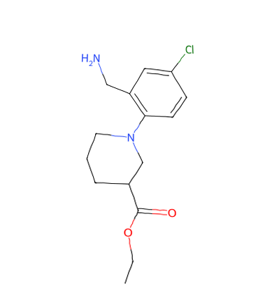 CCOC(=O)C1CCCN(c2ccc(Cl)cc2CN)C1